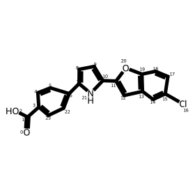 O=C(O)c1ccc(-c2ccc(-c3cc4cc(Cl)ccc4o3)[nH]2)cc1